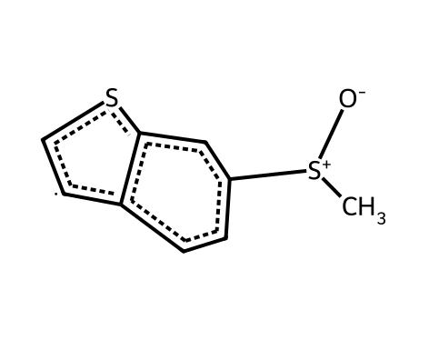 C[S+]([O-])c1ccc2[c]csc2c1